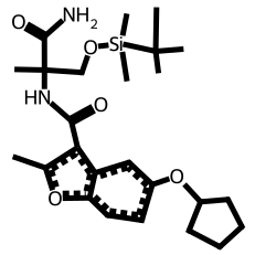 Cc1oc2ccc(OC3CCCC3)cc2c1C(=O)NC(C)(CO[Si](C)(C)C(C)(C)C)C(N)=O